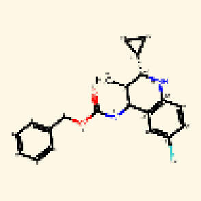 C[C@@H]1C(NC(=O)OCc2ccccc2)c2cc(F)ccc2N[C@H]1C1CC1